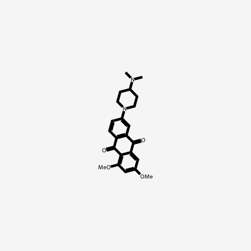 COc1cc(OC)c2c(c1)C(=O)c1cc(N3CCC(N(C)C)CC3)ccc1C2=O